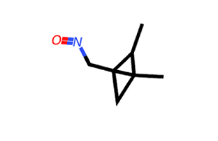 CC1C2(C)CC12CN=O